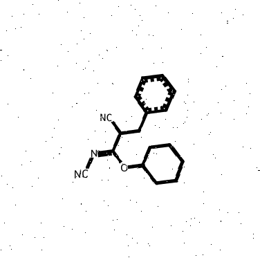 N#C/N=C(\OC1CCCCC1)C(C#N)Cc1ccccc1